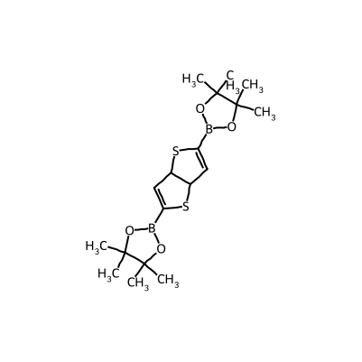 CC1(C)OB(C2=CC3SC(B4OC(C)(C)C(C)(C)O4)=CC3S2)OC1(C)C